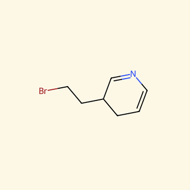 BrCCC1C=NC=CC1